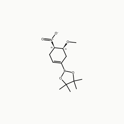 CO[C@H]1CC(B2OC(C)(C)C(C)(C)O2)=CC[C@H]1[N+](=O)[O-]